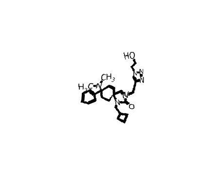 CN(C)[C@]1(c2ccccc2)CC[C@@]2(CC1)CN(Cc1cn(CCO)nn1)C(=O)N2CC1CCC1